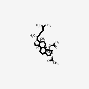 CC(=O)O[C@@H]1CC2=CC=C3[C@@H]4CC[C@H]([C@H](C)CCC=C(C)C)[C@@]4(C)CC[C@@H]3[C@@]2(C)[C@@H](OC(C)=O)C1